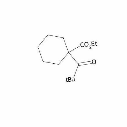 CCOC(=O)C1(C(=O)C(C)(C)C)CCCCC1